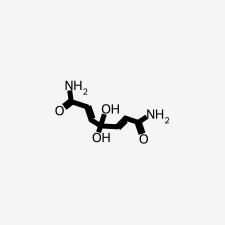 NC(=O)C=CC(O)(O)C=CC(N)=O